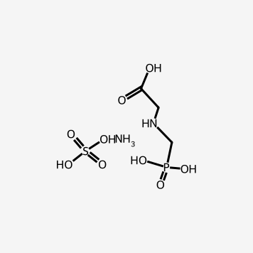 N.O=C(O)CNCP(=O)(O)O.O=S(=O)(O)O